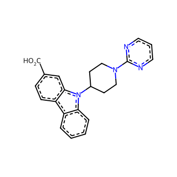 O=C(O)c1ccc2c3ccccc3n(C3CCN(c4ncccn4)CC3)c2c1